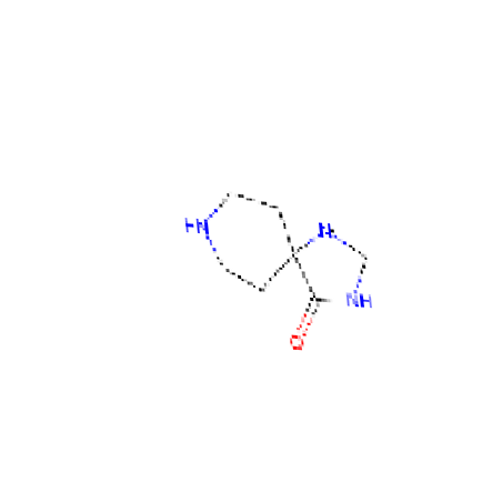 O=C1NC[N]C12CCNCC2